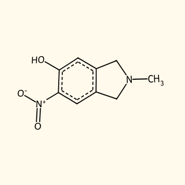 CN1Cc2cc(O)c([N+](=O)[O-])cc2C1